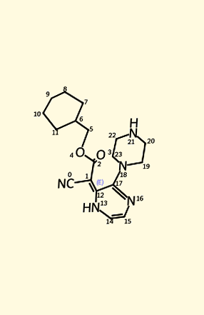 N#C/C(C(=O)OCC1CCCCC1)=C1\NC=CN=C1N1CCNCC1